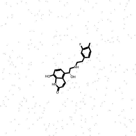 [CH2]c1ccc(CCNC[C@H](O)c2ccc(O)c3[nH]c(=O)ccc23)cc1F